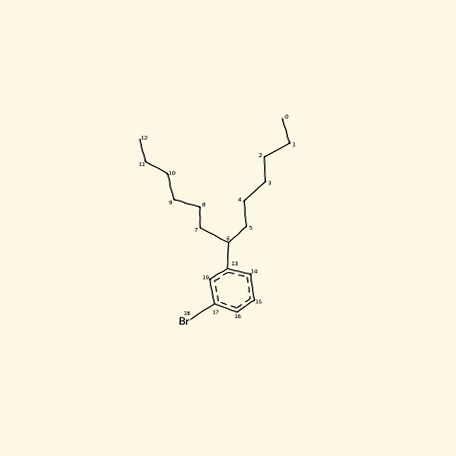 CCCCCCC(CCCCCC)c1cccc(Br)c1